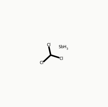 ClC(Cl)Cl.[SbH3]